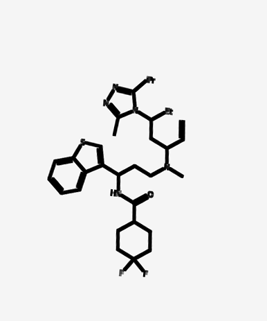 C=CC(CC(CC)n1c(C)nnc1C(C)C)N(C)CCC(NC(=O)C1CCC(F)(F)CC1)c1csc2ccccc12